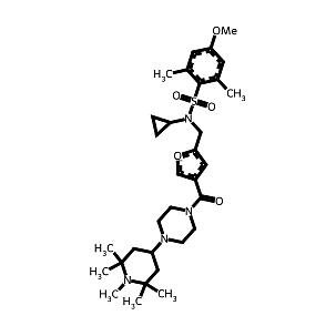 COc1cc(C)c(S(=O)(=O)N(Cc2cc(C(=O)N3CCN(C4CC(C)(C)N(C)C(C)(C)C4)CC3)co2)C2CC2)c(C)c1